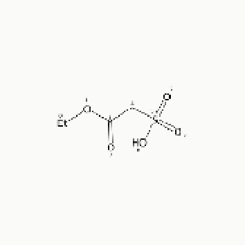 CCOC(=O)CS(=O)(=O)O